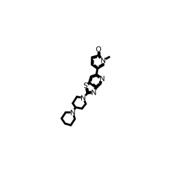 Cn1cc(-c2cc3sc(N4CCC(N5CCCCC5)CC4)nc3cn2)ccc1=O